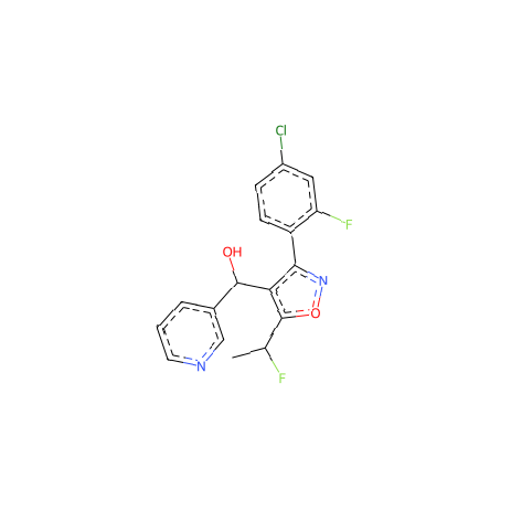 CC(F)c1onc(-c2ccc(Cl)cc2F)c1C(O)c1cccnc1